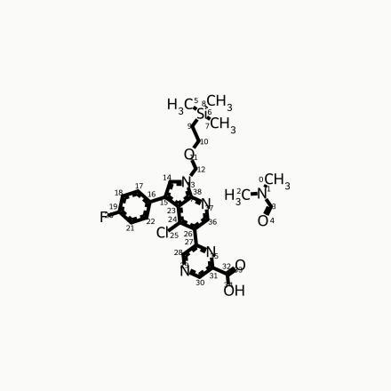 CN(C)C=O.C[Si](C)(C)CCOCn1cc(-c2ccc(F)cc2)c2c(Cl)c(-c3cncc(C(=O)O)n3)cnc21